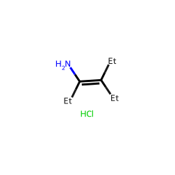 CCC(N)=C(CC)CC.Cl